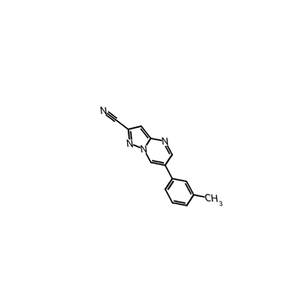 Cc1cccc(-c2cnc3cc(C#N)nn3c2)c1